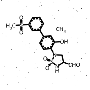 C.CS(=O)(=O)c1cccc(-c2ccc(N3CC(C=O)NS3(=O)=O)c(O)c2)c1